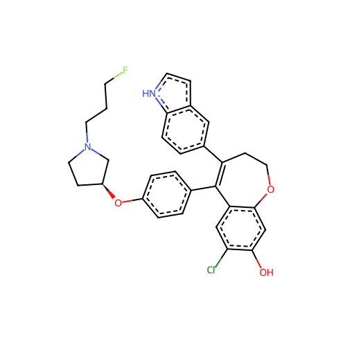 Oc1cc2c(cc1Cl)C(c1ccc(O[C@H]3CCN(CCCF)C3)cc1)=C(c1ccc3[nH]ccc3c1)CCO2